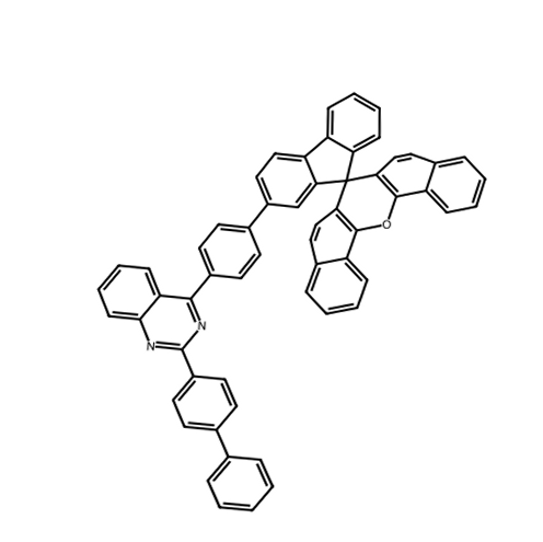 c1ccc(-c2ccc(-c3nc(-c4ccc(-c5ccc6c(c5)C5(c7ccccc7-6)c6ccc7ccccc7c6Oc6c5ccc5ccccc65)cc4)c4ccccc4n3)cc2)cc1